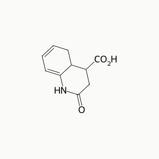 O=C1CC(C(=O)O)C2CC=CC=C2N1